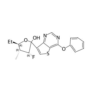 CC[C@H]1OC(O)(c2csc3c(Oc4ccccc4)ncnc23)[C@H](F)[C@@H]1C